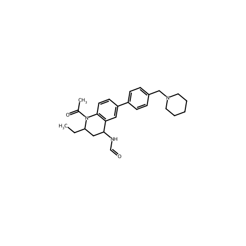 CCC1CC(NC=O)c2cc(-c3ccc(CN4CCCCC4)cc3)ccc2N1C(C)=O